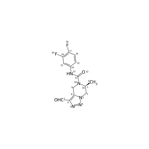 C[C@H]1Cn2nnc(C=O)c2CN1C(=O)Nc1ccc(F)c(F)c1